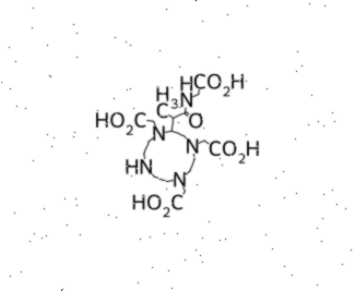 CC(C(=O)NCC(=O)O)C1CN(CC(=O)O)CCN(CC(=O)O)CCNCCN1CC(=O)O